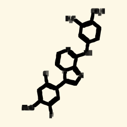 COc1cc(Cl)c(-c2cnc3c(Nc4ccc(C(=O)O)c(C)c4)nccn23)cc1F